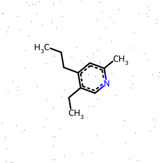 CCCc1cc(C)ncc1CC